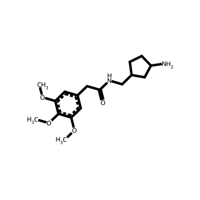 COc1cc(CC(=O)NCC2CCC(N)C2)cc(OC)c1OC